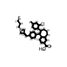 Cc1ccc(C2=C(c3ccc(C=C4CN(CCCF)C4)cc3)c3ccc(C(=O)O)cc3CCC2)c(Cl)c1